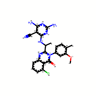 COc1cc(-n2c(C(C)Nc3nc(N)nc(N)c3C#N)nc3cccc(Cl)c3c2=O)ccc1C